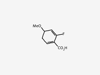 COC1C=C(F)C(C(=O)O)=CC1